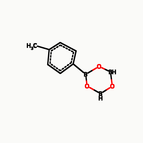 Cc1ccc(B2OBOBO2)cc1